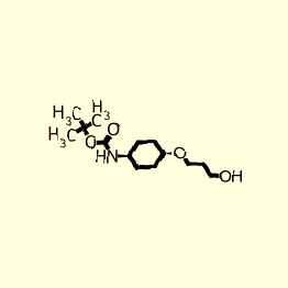 CC(C)(C)OC(=O)N[C@H]1CC[C@H](OCCCO)CC1